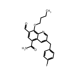 CCCCOc1c(C=O)cc(C(N)=O)c2cc(Cc3ccc(F)cc3)cnc12